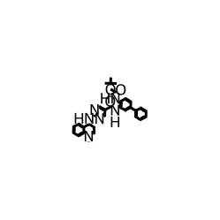 CN1CCC(Nc2ncc(C(=O)Nc3cc(-c4ccccc4)ccc3NC(=O)OC(C)(C)C)cn2)c2ccccc21